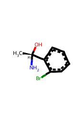 C[C@@](N)(O)c1ccccc1Br